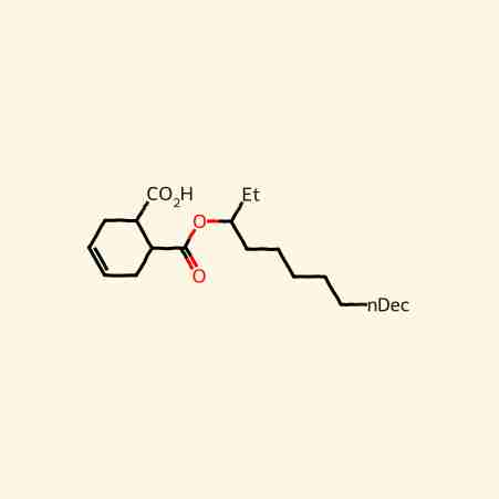 CCCCCCCCCCCCCCCC(CC)OC(=O)C1CC=CCC1C(=O)O